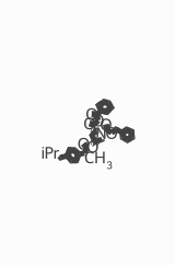 CC(C)Cc1ccc(C(C)C(=O)O[C@@H]2C[C@@H](C(=O)OC(=O)c3ccccc3)N(C(=O)OCc3ccccc3)C2)cc1